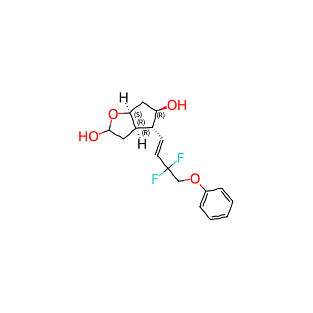 OC1C[C@@H]2[C@@H](C=CC(F)(F)COc3ccccc3)[C@H](O)C[C@@H]2O1